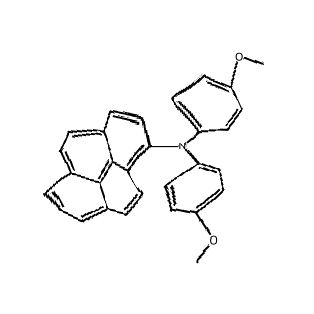 COc1ccc(N(c2ccc(OC)cc2)c2ccc3ccc4cccc5ccc2c3c45)cc1